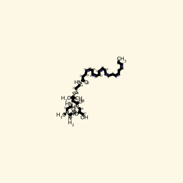 CC/C=C\C/C=C\C/C=C\C/C=C\C/C=C\C/C=C\CCC(=O)NCCSSC(C)(C)[C@H](NC(=O)CN(C)C(=N)N)C(=O)NC[C@@H](O)CO